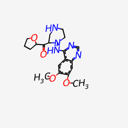 COc1cc2ncnc(NN3CCNCC3C(=O)C3CCCO3)c2cc1OC